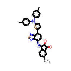 Cc1ccc(N(c2ccc(C)cc2)c2ccc(-c3ccc(/N=c4\c(=O)c(=O)c5cc(C(F)(F)F)ccc45)c4nsnc34)s2)cc1